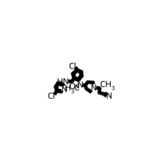 CC(CC#N)N1CCC(N(C)c2ccc(Cl)cc2C(=O)Nc2ccc(Cl)cn2)CC1